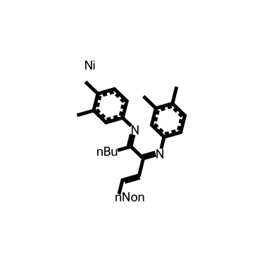 CCCCCCCCCC=CC(=Nc1ccc(C)c(C)c1)C(CCCC)=Nc1ccc(C)c(C)c1.[Ni]